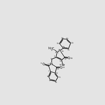 Cn1c(CN2C(=O)c3ccccc3C2=O)c(Br)c(=O)n1-c1ccccc1